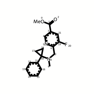 COC(=O)c1cnc(CN(C)C2(c3ccccc3)CC2)c(F)c1